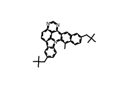 Cc1c2ccc(CC(C)(C)C)cc2cc2c3ncnc4ccc5c6cc(CC(C)(C)C)ccc6n(c12)c5c43